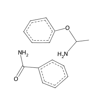 CC(N)Oc1ccccc1.NC(=O)c1ccccc1